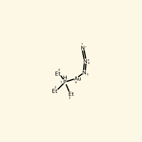 CC[PH](CC)(CC)[Au][N]=[N+]=[N-]